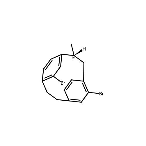 C[C@@H]1Cc2ccc(cc2Br)CCc2ccc1cc2Br